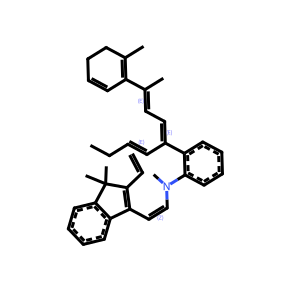 C=CC1=C(/C=C\N(C)c2ccccc2C(/C=C/CC)=C/C=C(\C)C2=C(C)CCC=C2)c2ccccc2C1(C)C